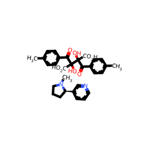 CN1CCC[C@@H]1c1cccnc1.Cc1ccc(C(=O)C(O)(C(=O)O)C(O)(C(=O)O)C(=O)c2ccc(C)cc2)cc1